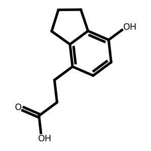 O=C(O)CCc1ccc(O)c2c1CCC2